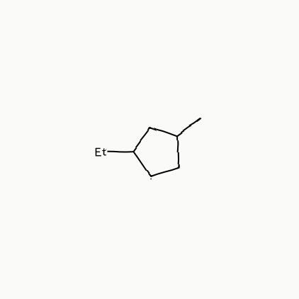 CCC1[CH]CC(C)C1